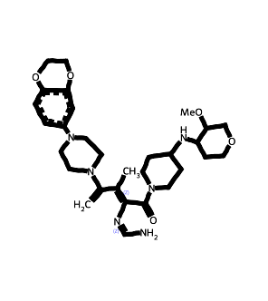 C=C(/C(C)=C(\N=C/N)C(=O)N1CCC(NC2CCOCC2OC)CC1)N1CCN(c2ccc3c(c2)OCCO3)CC1